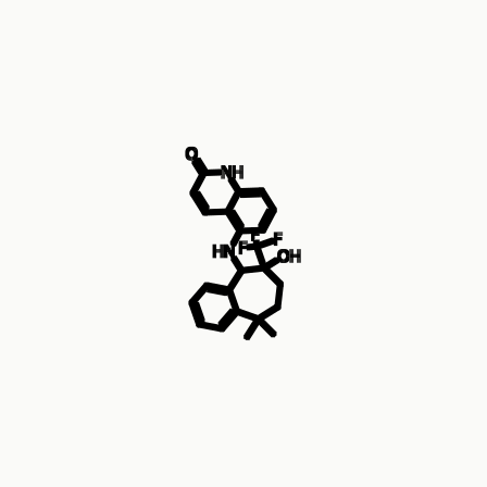 CC1(C)CCC(O)(C(F)(F)F)C(Nc2cccc3[nH]c(=O)ccc23)c2ccccc21